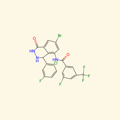 O=C(Nc1cc(Br)cc2c1C(c1cc(F)ccc1Cl)NNC2=O)c1cc(F)cc(C(F)(F)F)c1